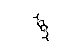 CC(C)CN1CC2CN(C(C)C)CC2C1